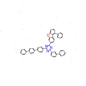 c1ccc(-c2ccc(-c3ccc(-c4nc(-c5cccc(-c6ccccc6)c5)nc(-c5ccc6c(c5)oc5cccc(-c7ccccc7)c56)n4)cc3)cc2)cc1